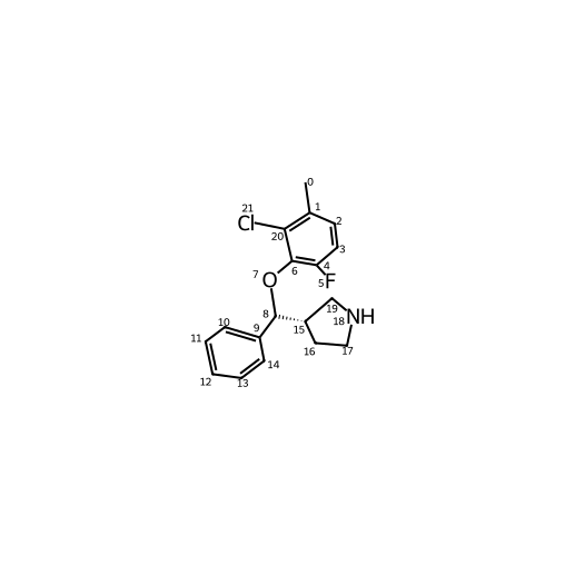 Cc1ccc(F)c(OC(c2ccccc2)[C@H]2CCNC2)c1Cl